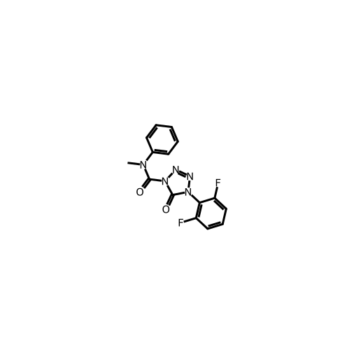 CN(C(=O)n1nnn(-c2c(F)cccc2F)c1=O)c1ccccc1